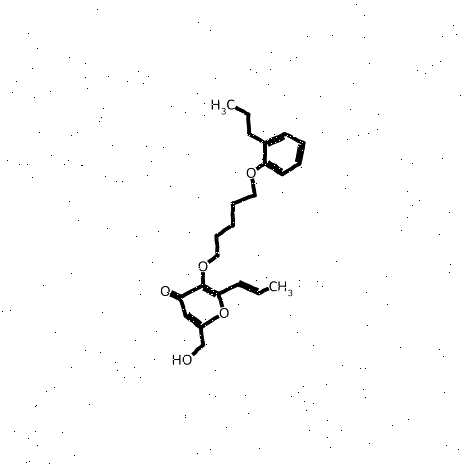 CC=Cc1oc(CO)cc(=O)c1OCCCCCOc1ccccc1CCC